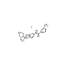 C[N+](C)(Cc1ccc(NC(=O)c2cccc(C(F)(F)F)c2)cc1)C1CCOCC1.[I-]